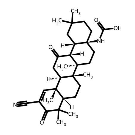 CC1(C)CC[C@]2(NC(=O)O)CC[C@]3(C)[C@H](C(=O)C[C@@H]4[C@@]5(C)C=C(C#N)C(=O)C(C)(C)[C@@H]5CC[C@]43C)[C@@H]2C1